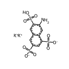 Nc1cc2c(S(=O)(=O)[O-])cc(S(=O)(=O)[O-])cc2cc1S(=O)(=O)O.[K+].[K+]